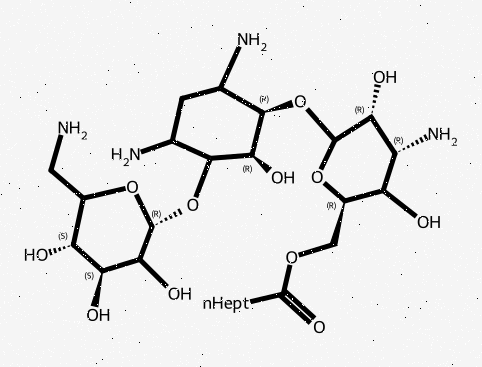 CCCCCCCC(=O)OC[C@H]1OC(O[C@@H]2C(N)CC(N)C(O[C@H]3OC(CN)[C@@H](O)[C@H](O)C3O)[C@@H]2O)[C@H](O)[C@H](N)C1O